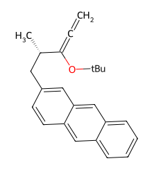 C=C=C(OC(C)(C)C)[C@@H](C)Cc1ccc2cc3ccccc3cc2c1